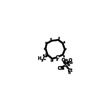 CC1CCCCCCCCC1.CCS(=O)(=O)Cl